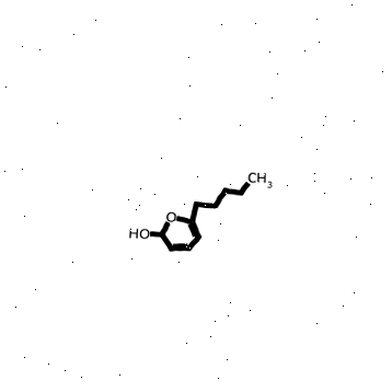 CCCCCC1=CC=CC(O)O1